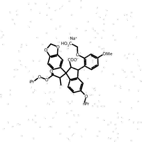 CCCOc1ccc2c(c1)C(c1ccc(OC)cc1OCC(=O)O)C(C(=O)[O-])C2(c1ccc2c(c1)OCO2)C(C)C(=O)OOC(C)C.[Na+]